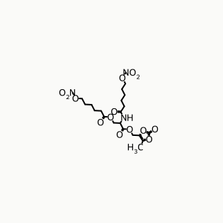 Cc1oc(=O)oc1COC(=O)C(COC(=O)CCCCCO[N+](=O)[O-])NC(=O)CCCCCO[N+](=O)[O-]